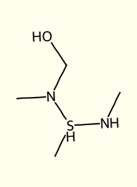 CN[SH](C)N(C)CO